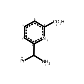 CC(C)C(N)c1cccc(C(=O)O)n1